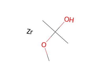 COC(C)(C)O.[Zr]